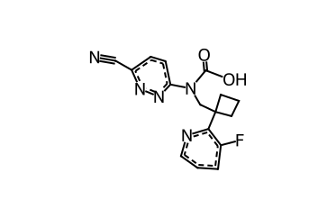 N#Cc1ccc(N(CC2(c3ncccc3F)CCC2)C(=O)O)nn1